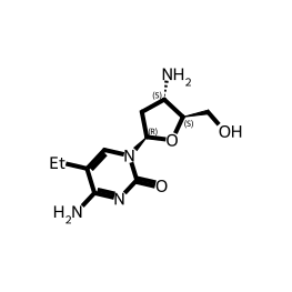 CCc1cn([C@H]2C[C@H](N)[C@@H](CO)O2)c(=O)nc1N